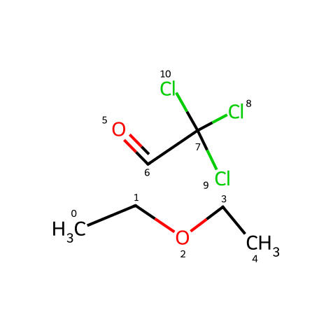 CCOCC.O=CC(Cl)(Cl)Cl